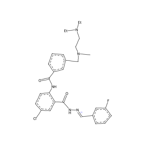 CCN(CC)CCN(C)Cc1cccc(C(=O)Nc2ccc(Cl)cc2C(=O)N/N=C/c2cccc(F)c2)c1